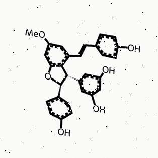 COc1cc(/C=C/c2ccc(O)cc2)c2c(c1)O[C@H](c1ccc(O)cc1)[C@H]2c1cc(O)cc(O)c1